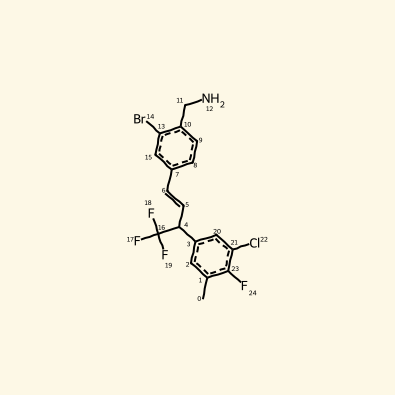 Cc1cc(C(/C=C/c2ccc(CN)c(Br)c2)C(F)(F)F)cc(Cl)c1F